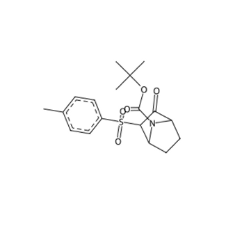 Cc1ccc(S(=O)(=O)C2C(=O)C3CCC2N3C(=O)OC(C)(C)C)cc1